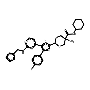 CC1(C(=O)NC2CCCCC2)COC(c2nc(-c3ccc(F)cc3)c(-c3ccnc(NCc4cccs4)n3)[nH]2)OC1